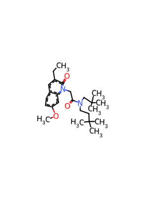 CCc1cc2ccc(OC)cc2n(CC(=O)N(CCC(C)(C)C)CC(C)(C)C)c1=O